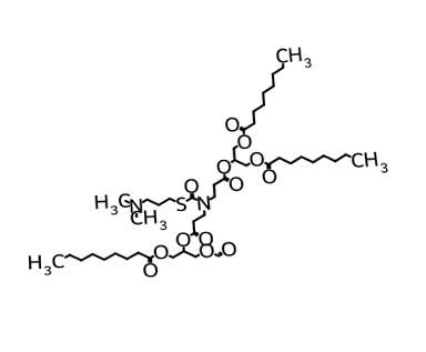 CCCCCCCCC(=O)OCC(COC=O)OC(=O)CCN(CCC(=O)OC(COC(=O)CCCCCCCC)COC(=O)CCCCCCCC)C(=O)SCCCN(C)C